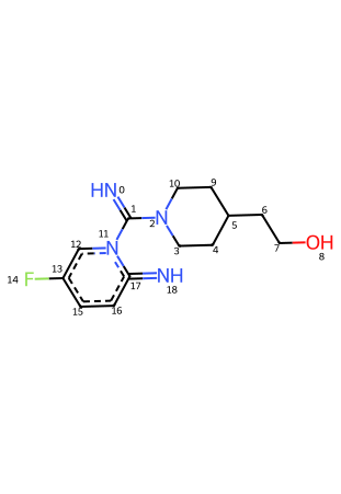 N=C(N1CCC(CCO)CC1)n1cc(F)ccc1=N